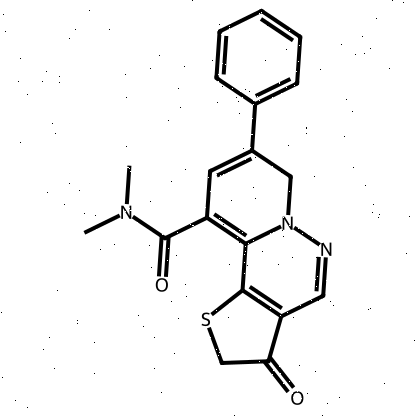 CN(C)C(=O)C1=C2C3=C(C=NN2CC(c2ccccc2)=C1)C(=O)CS3